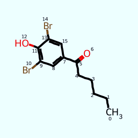 CCCCCC(=O)c1cc(Br)c(O)c(Br)c1